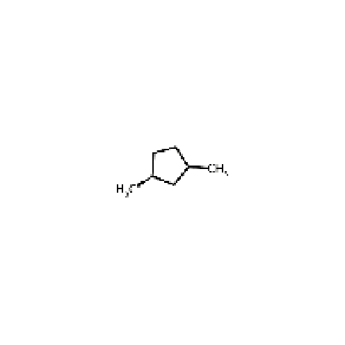 CC1CC[C@H](C)C1